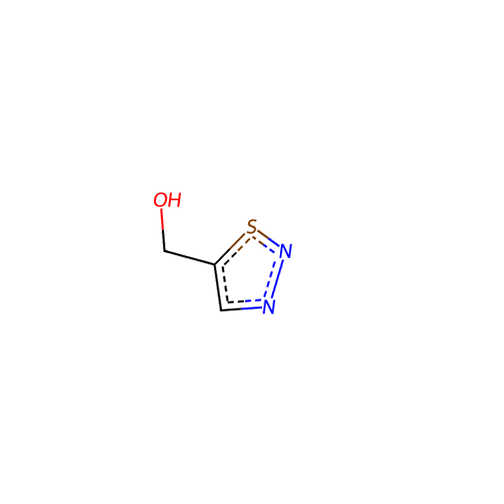 OCc1cnns1